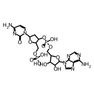 Nc1ccn(C2CC(OP(=O)(O)OCC3OC(n4cnc5c(N)ncnc54)C(O)C3O)C(COP(=O)(O)O)O2)c(=O)n1